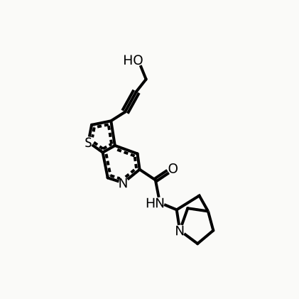 O=C(NC1CC2CCN1C2)c1cc2c(C#CCO)csc2cn1